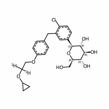 [2H]C([2H])(COc1ccc(Cc2cc([C@@H]3O[C@H](CO)[C@@H](O)[C@H](O)[C@H]3O)ccc2Cl)cc1)OC1CC1